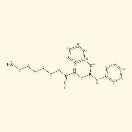 CCCCCCCC(=O)NCP(Oc1ccccc1)Oc1ccccc1